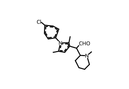 Cc1cc(C(C=O)C2CCCCN2C)c(C)n1-c1ccc(Cl)cc1